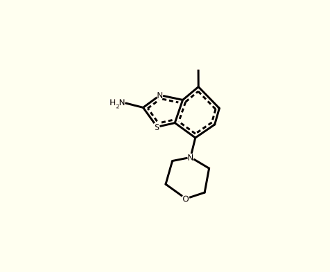 Cc1ccc(N2CCOCC2)c2sc(N)nc12